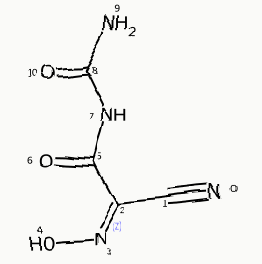 N#C/C(=N/O)C(=O)NC(N)=O